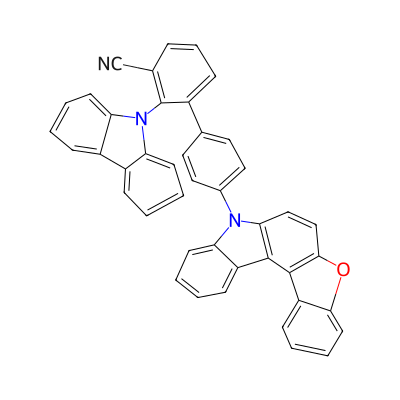 N#Cc1cccc(-c2ccc(-n3c4ccccc4c4c5c(ccc43)oc3ccccc35)cc2)c1-n1c2ccccc2c2ccccc21